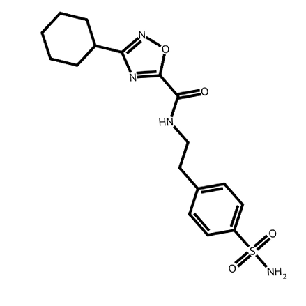 NS(=O)(=O)c1ccc(CCNC(=O)c2nc(C3CCCCC3)no2)cc1